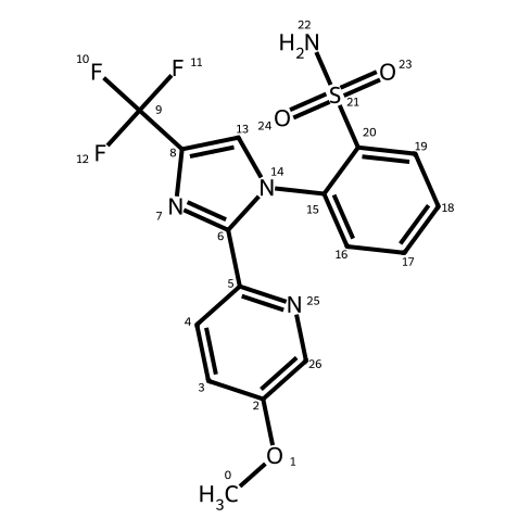 COc1ccc(-c2nc(C(F)(F)F)cn2-c2ccccc2S(N)(=O)=O)nc1